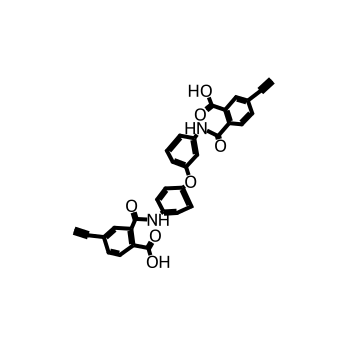 C#Cc1ccc(C(=O)Nc2cccc(Oc3ccc(NC(=O)c4cc(C#C)ccc4C(=O)O)cc3)c2)c(C(=O)O)c1